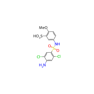 COc1ccc(NS(=O)(=O)c2cc(Cl)c(N)cc2Cl)cc1S(=O)(=O)O